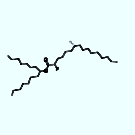 CCCCCCCCC[C@@H](C)CCCCC(F)C(=O)OC(CCCCCCC)CCCCCCC